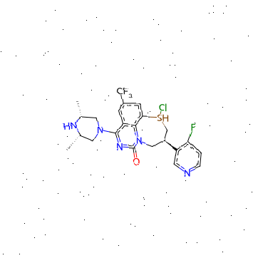 C[C@@H]1CN(c2nc(=O)n3c4c(cc(C(F)(F)F)cc24)[SH](Cl)C[C@@H](c2cnccc2F)C3)C[C@H](C)N1